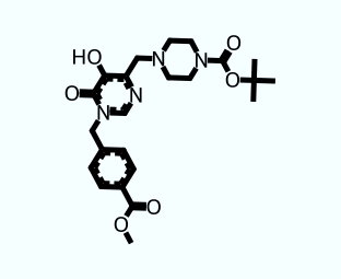 COC(=O)c1ccc(Cn2cnc(CN3CCN(C(=O)OC(C)(C)C)CC3)c(O)c2=O)cc1